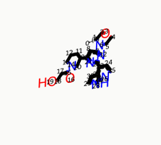 C[C@@H]1COCCN1c1cc(C2CCCN(C(=O)CCO)C2)nc(-c2ccnc3[nH]ccc23)n1